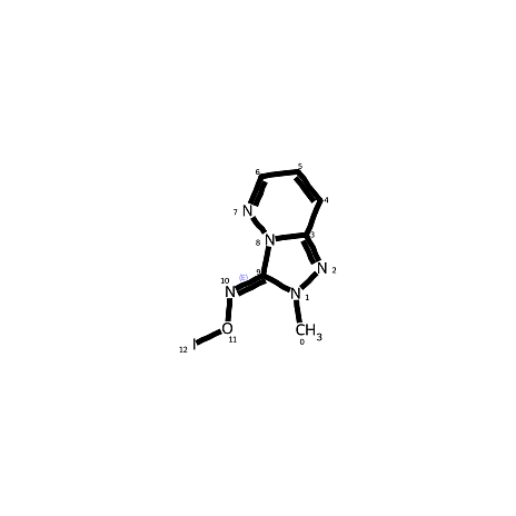 Cn1nc2cccnn2/c1=N/OI